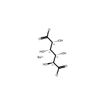 O=C([O-])[C@@H](O)[C@@H](O)[C@H](O)[C@@H](O)C(=O)[O-].[Ba+2]